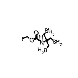 BCC(CB)(CB)NC(=O)OCI